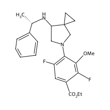 CCOC(=O)c1cc(F)c(N2CC(N[C@@H](C)c3ccccc3)C3(CC3)C2)c(OC)c1F